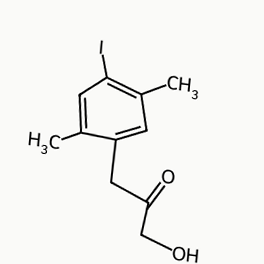 Cc1cc(CC(=O)CO)c(C)cc1I